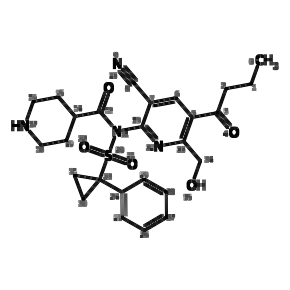 CCCC(=O)c1cc(C#N)c(N(C(=O)C2CCNCC2)S(=O)(=O)C2(c3ccccc3)CC2)nc1CO